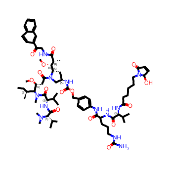 CC[C@H](C)C([C@@H](CC(=O)N1C[C@@H](NC(=O)OCc2ccc(NC(=O)C(CCCNC(N)=O)NC(=O)[C@@H](NC(=O)CCCCCN3C(=O)C=CC3O)C(C)C)cc2)C[C@H]1[C@H](OC)[C@@H](C)C(=O)NCC(=O)c1ccc2ccccc2c1)OC)N(C)C(=O)[C@@H](NC(=O)[C@H](C(C)C)N(C)C)C(C)C